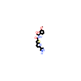 COc1cccc(C(CO)NC(=O)c2cc3ccc(-c4cn[nH]c4)nc3s2)c1